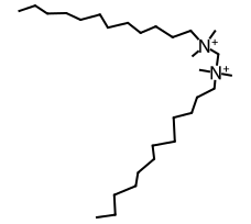 CCCCCCCCCCCC[N+](C)(C)C[N+](C)(C)CCCCCCCCCCCC